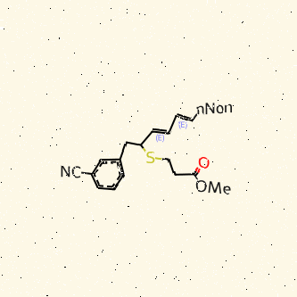 CCCCCCCCC/C=C/C=C/C(Cc1cccc(C#N)c1)SCCC(=O)OC